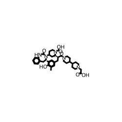 Cc1cc(CC(C(=O)N2CCC(C3CCN(CC(=O)O)CC3)CC2)[C@H]2CC(N3CCc4ccccc4NC3=O)CCN2C(=O)O)cc(C)c1O